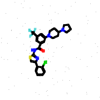 O=C(Nc1nc(-c2ccccc2Cl)cs1)c1cc(N2CCC(N3CCCC3)CC2)cc(C(F)(F)F)c1